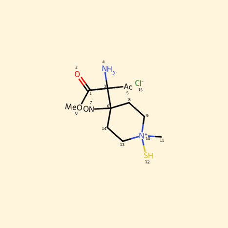 COC(=O)C(N)(C(C)=O)C1(N=O)CC[N+](C)(S)CC1.[Cl-]